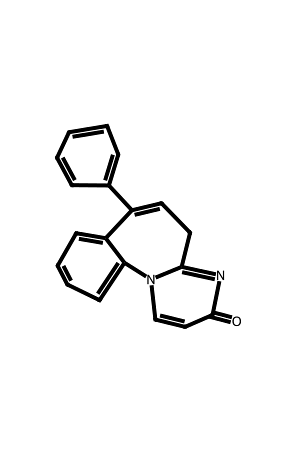 O=c1ccn2c(n1)CC=C(c1ccccc1)c1ccccc1-2